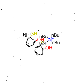 CCCC[N+](CCCC)(CCCC)CCCC.Oc1ccccc1S.Oc1ccccc1S.[Ni+2]